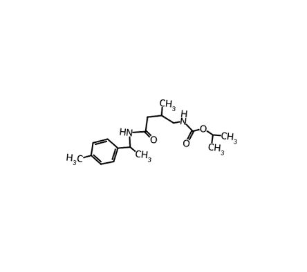 Cc1ccc(C(C)NC(=O)CC(C)CNC(=O)OC(C)C)cc1